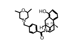 CC1CN(Cc2ccc(C(=O)N3CC[C@@]4(C)c5cccc(O)c5C[C@@H]3C4(C)C)cc2)CC(C)O1